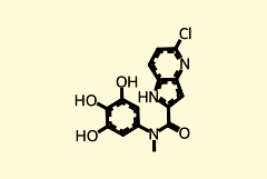 CN(C(=O)c1cc2nc(Cl)ccc2[nH]1)c1cc(O)c(O)c(O)c1